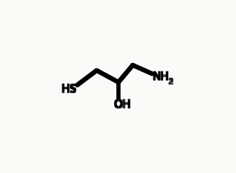 NCC(O)CS